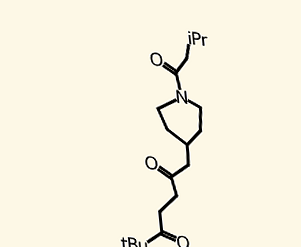 CC(C)CC(=O)N1CCC(CC(=O)CCC(=O)C(C)(C)C)CC1